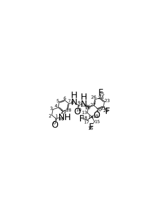 O=C1CCc2ccc(NC(=O)N[C@@H]3CC(CF)(CF)Oc4c(F)cc(F)cc43)cc2N1